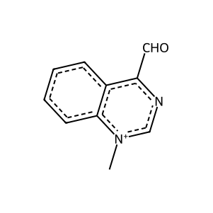 C[n+]1cnc(C=O)c2ccccc21